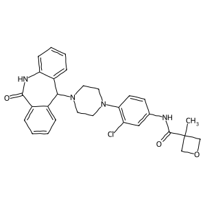 CC1(C(=O)Nc2ccc(N3CCN(C4c5ccccc5NC(=O)c5ccccc54)CC3)c(Cl)c2)COC1